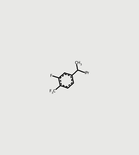 CC(C)C(C)c1ccc(C(F)(F)F)c(F)c1